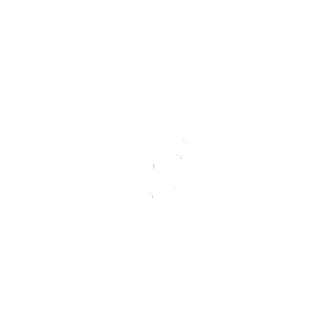 CC1(CN/C(=N/C(=O)c2ccc(Cl)c(F)c2)Nc2cc(-c3ccc(F)cc3)n[nH]2)CCCO1